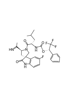 CC(=N)[C@@H]1C[C@@]2(CN1C(=O)[C@H](CC(C)C)NC(=O)O[C@@H](c1ccccc1)C(F)(F)F)C(=O)Nc1ccc(F)cc12